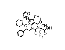 Cc1c(-c2ncco2)sc2c1c(=O)n(C(C)(C)C(=O)O)c(=O)n2CC(O[C@H]1CCCC[C@@H]1C)c1ccccc1